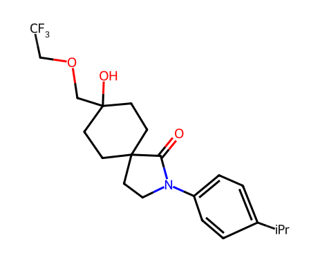 CC(C)c1ccc(N2CCC3(CCC(O)(COCC(F)(F)F)CC3)C2=O)cc1